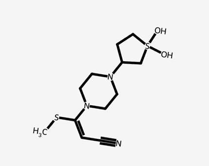 CS/C(=C/C#N)N1CCN(C2CCS(O)(O)C2)CC1